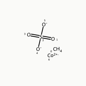 C.O=S(=O)([O-])[O-].[Co+2]